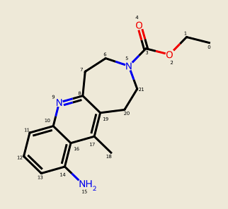 CCOC(=O)N1CCc2nc3cccc(N)c3c(C)c2CC1